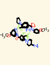 COc1cccc(NC(=O)c2ccc(N3CCC(C#N)CC3)c(C(F)(F)F)c2)c1.COc1cccc(NC(=O)c2ccc(N3CCCCCC3)c(C(F)(F)F)c2)c1